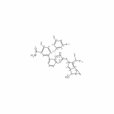 NC(=O)c1cc(-c2cccnc2[C@H](Cc2cc(F)cc(F)c2)NC(=O)Cn2cc3c(c2C(F)F)C2CC2C3O)ccc1F